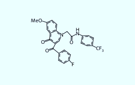 COc1ccc2c(c1)c(=O)c(C(=O)c1ccc(F)cc1)cn2CC(=O)Nc1ccc(C(F)(F)F)cc1